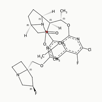 C[C@@H]1Oc2nc(Cl)c(F)c3nc(OC[C@@]45CCN4C[C@H](F)C5)nc(c23)N2C[C@H]3CC[C@@H]([C@@H]12)N3C(=O)OC(C)(C)C